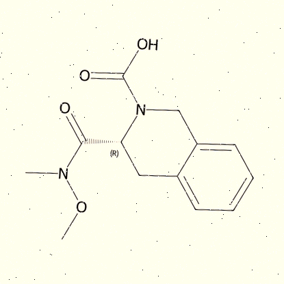 CON(C)C(=O)[C@H]1Cc2ccccc2CN1C(=O)O